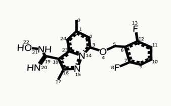 Cc1cc(OCc2c(F)cccc2F)n2nc(C)c(C(=N)NO)c2c1